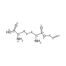 C=CCOC(=O)C(N)CCCC(N)C(=O)O